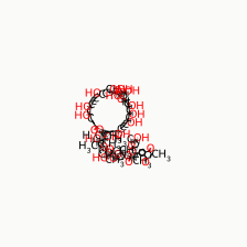 CC[C@@H](O[C@@H]1C[C@](C)(O)[C@@H](O[C@@H]2CC[C@@H](OC(=O)[C@H](C)[C@H](O[C@@H]3CC[C@@H](O)[C@@H](C)O3)c3ccc4c(c3)C(=O)C=C(C)C4=O)[C@@H](C)O2)[C@@H](C)O1)[C@@H](C)[C@H](O)[C@H](C)[C@H](O)[C@@H](C)[C@@H]1OC(=O)C=CCC(O)CC(O)CCCC(O)CCC(C)[C@H](O)C(=O)[C@@]2(O)O[C@@H](C[C@@H](O)C[C@H](O)C[C@H](O)CCCC(O)C=C[C@H]1C)C[C@@H](O)[C@@H]2O